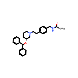 CNC(=O)NCc1ccc(CCN2CCC[C@@H](OC(c3ccccc3)c3ccccc3)C2)cc1